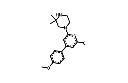 COc1ccc(-c2cc(Cl)nc(N3CCNC(C)(C)C3)c2)cc1